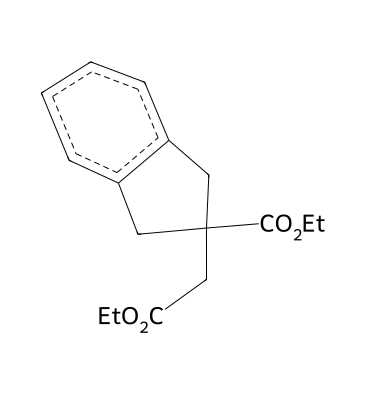 CCOC(=O)CC1(C(=O)OCC)Cc2ccccc2C1